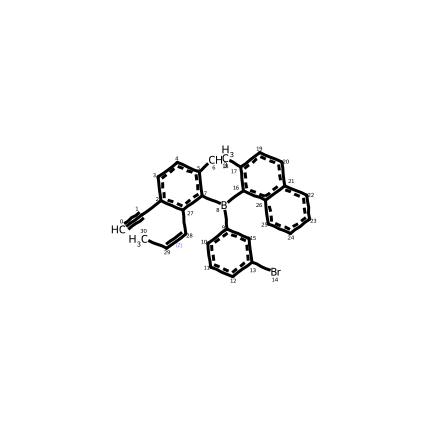 C#Cc1ccc(C)c(B(c2cccc(Br)c2)c2c(C)ccc3ccccc23)c1/C=C\C